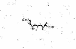 CCCCCCCCCCCCN(C)CCCNC(=O)CCCCCCCCC